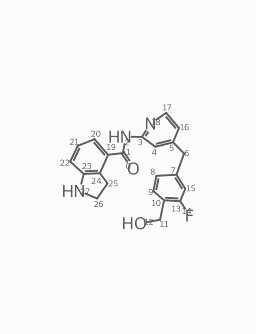 O=C(Nc1cc(Cc2ccc(CO)c(F)c2)ccn1)c1cccc2c1CCN2